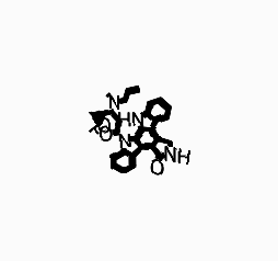 C=CCN(C)[C@@H]1C[C@H](n2c3ccccc3c3c4c(c5c6ccccc6[nH]c5c32)CNC4=O)O[C@]2(C)C[C@@]12OC